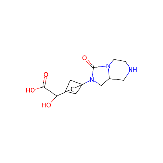 O=C(O)C(O)C12CC(N3CC4CNCCN4C3=O)(C1)C2